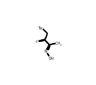 C/C(=N\O)C(=O)CBr